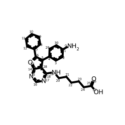 Nc1ccc(-c2c(-c3ccccc3)oc3ncnc(NCCCCCC(=O)O)c23)cc1